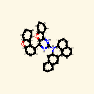 c1ccc2cc3c(cc2c1)-c1cccc2cccc(c12)N3c1nc(-c2cccc3oc4ccccc4c23)c2oc3ccccc3c2n1